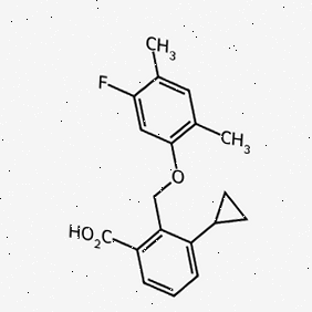 Cc1cc(C)c(OCc2c(C(=O)O)cccc2C2CC2)cc1F